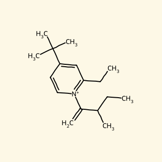 C=C(C(C)CC)[n+]1ccc(C(C)(C)C)cc1CC